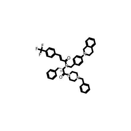 O=C([C@H](Cc1ccccc1)N(Cc1ccc(N2CCc3ccccc3C2)cc1)C(=O)C=Cc1ccc(C(F)(F)F)cc1)N1CCN(Cc2ccccc2)CC1